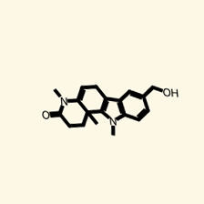 CN1C(=O)CCC2(C)C1=CCc1c2n(C)c2ccc(CO)cc12